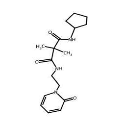 CC(C)(C(=O)NCCn1ccccc1=O)C(=O)NC1CCCC1